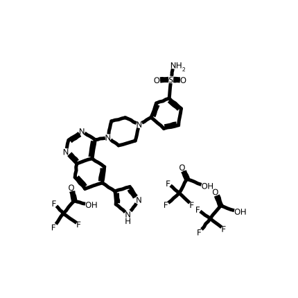 NS(=O)(=O)c1cccc(N2CCN(c3ncnc4ccc(-c5cn[nH]c5)cc34)CC2)c1.O=C(O)C(F)(F)F.O=C(O)C(F)(F)F.O=C(O)C(F)(F)F